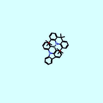 CC(C)(C)c1cccc2c1N(B1c3ccccc3-n3c4ccccc4c4cccc1c43)c1c(C(C)(C)C)cccc1C2(C)C